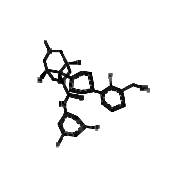 CN1C[C@@H]2CN(C(=O)Nc3cc(F)cc(F)c3)C[C@H](C1)[C@@]2(O)c1ccc(-c2cccc(CN)c2F)cc1